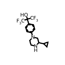 OC(c1ccc(N2CCNC(C3CC3)C2)cc1)(C(F)(F)F)C(F)(F)F